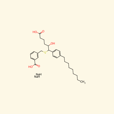 CCCCCCCCCc1ccc(C(SCc2cccc(C(=O)O)c2)C(O)CCCC(=O)O)cc1.[NaH].[NaH]